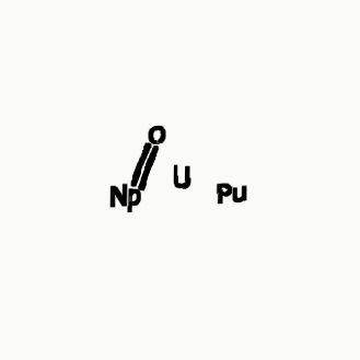 [O]=[Np].[Pu].[U]